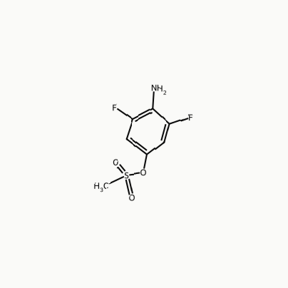 CS(=O)(=O)Oc1cc(F)c(N)c(F)c1